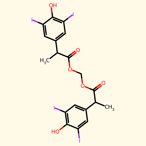 CC(C(=O)OCOC(=O)C(C)c1cc(I)c(O)c(I)c1)c1cc(I)c(O)c(I)c1